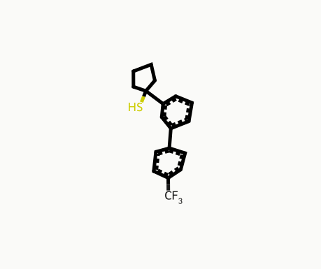 FC(F)(F)c1ccc(-c2cccc(C3(S)CCCC3)c2)cc1